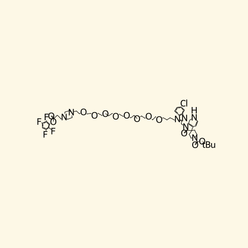 CC(C)(C)OC(=O)N1CCC2(CC1)C(=O)N(Cc1nc3cc(Cl)ccc3n1CCCCOCCOCCOCCOCCOCCOCCOCCOCCN1CCN(CCC(=O)Oc3c(F)c(F)cc(F)c3F)CC1)C1=C2C=CNC1